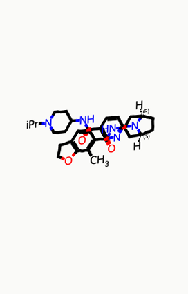 Cc1c(C(=O)N[C@H]2C[C@H]3CC[C@@H](C2)N3c2ccc(C(=O)NC3CCN(C(C)C)CC3)cn2)ccc2c1OCC2